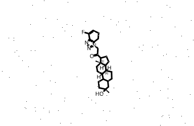 C[C@@]1(O)CCC2C(CC[C@@H]3[C@@H]2CC[C@]2(C)C(C(=O)Cn4nnc5c4CCC=C5F)CC[C@@H]32)C1